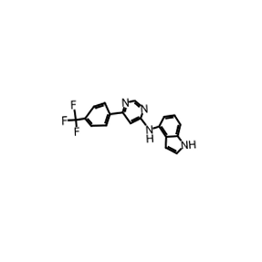 FC(F)(F)c1ccc(-c2cc(Nc3cccc4[nH]ccc34)ncn2)cc1